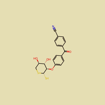 N#Cc1ccc(C(=O)c2ccc(O[C@@H]3[C@@H](O)[C@H](O)CS[C@H]3S)cc2)cc1